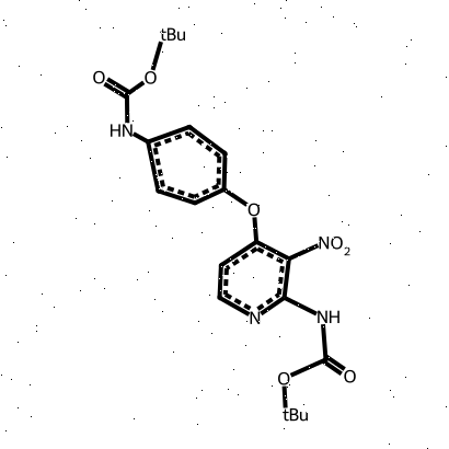 CC(C)(C)OC(=O)Nc1ccc(Oc2ccnc(NC(=O)OC(C)(C)C)c2[N+](=O)[O-])cc1